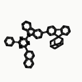 c1ccc(-c2nc(-c3ccc4ccccc4c3)nc(-n3c4ccccc4c4cc(-c5ccc6c(c5)C5(c7ccccc7-6)C6CC7CC(C6)CC5C7)ccc43)n2)cc1